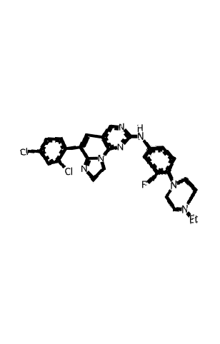 CCN1CCN(c2ccc(Nc3ncc4c(n3)N3CCN=C3C(c3ccc(Cl)cc3Cl)=C4)cc2F)CC1